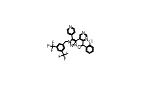 O=C(c1ccccc1Cl)c1ncncc1-c1nnn(Cc2cc(C(F)(F)F)cc(C(F)(F)F)c2)c1-c1ccncc1